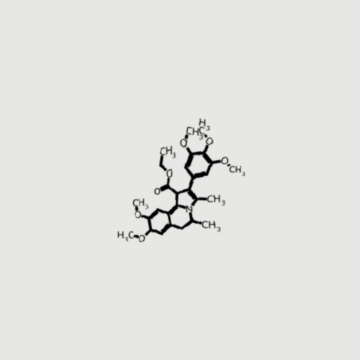 CCOC(=O)C1C(c2cc(OC)c(OC)c(OC)c2)=C(C)N2C1=C1C=C(OC)C(OC)C=C1CC2C